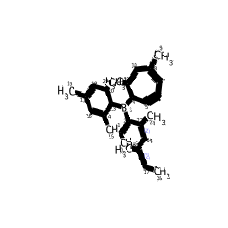 CC=C(B(C1C#CC=C(C)C=C1C)C1C(C)=CC(C)=CC1C)/C(C)=C\C(C)=C/C